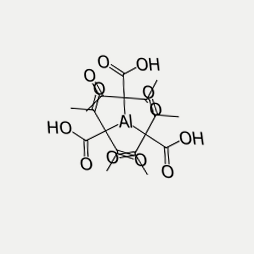 CC(=O)[C](C(C)=O)(C(=O)O)[Al]([C](C(C)=O)(C(C)=O)C(=O)O)[C](C(C)=O)(C(C)=O)C(=O)O